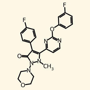 Cn1c(-c2ccnc(Oc3cccc(F)c3)n2)c(-c2ccc(F)cc2)c(=O)n1N1CCOCC1